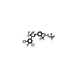 CC(F)(F)c1cc(/C(F)=C/C(c2cc(Cl)c(F)c(Cl)c2)C(F)(F)F)ccc1CCSCC(F)(F)F